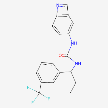 CCC(NC(=O)Nc1ccc2c(c1)C=N2)c1cccc(C(F)(F)F)c1